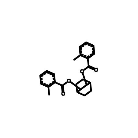 Cc1ccccc1C(=O)OC1C2CCC(CC2)C1OC(=O)c1ccccc1C